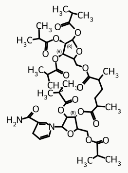 CC(C)C(=O)OCC1OC(N2C=CCC(C(N)=O)=C2)C(OC(=O)C(C)C)[C@@H]1OC(=O)C(C)CCC(C)C(=O)OCC1OC(OC(=O)C(C)C)[C@H](OC(=O)C(C)C)[C@@H]1OC(=O)C(C)C